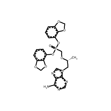 C[C@H](Cn1cnc2c(N)ncnc21)OCP(=O)(Oc1cccc2c1OCO2)Oc1cccc2c1OCO2